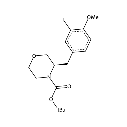 COc1ccc(C[C@@H]2COCCN2C(=O)OC(C)(C)C)cc1I